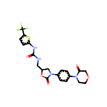 O=C(NCC1CN(c2ccc(N3CCOCC3=O)cc2)C(=O)O1)Nc1ccc(C(F)(F)F)s1